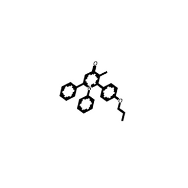 CCCOc1ccc(-c2c(C)c(=O)cc(-c3ccccc3)n2-c2ccccc2)cc1